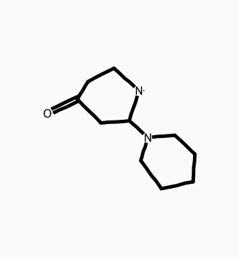 O=C1CC[N]C(N2CCCCC2)C1